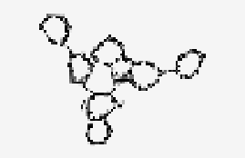 c1ccc(-c2ccc(-c3nc4ccccc4nc3-n3c4ccccc4c4cc(-c5ccccc5)ccc43)cc2)cc1